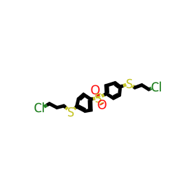 O=S(=O)(c1ccc(SCCCCl)cc1)c1ccc(SCCCCl)cc1